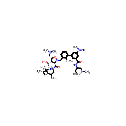 COc1c(CN2O[C@@H](CN(C)C)[C@@H]([C@H](C)O)[C@H]2C(=O)NC[C@@H](C)[C@@H]2C[C@H](C)C2(C)C)cccc1-c1cc(C(=O)NC(CN(C)C)CC(C)(C)C)cc(N(C)C)c1